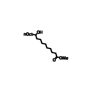 CCCCCCCCC(O)CCCCCCCCC(=O)OC